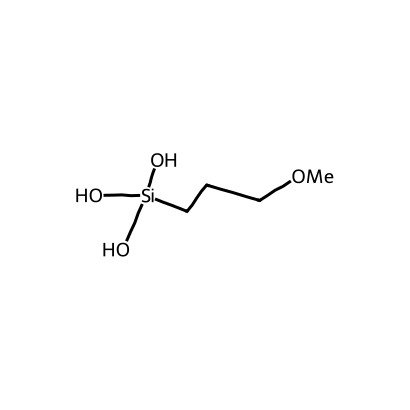 COCCC[Si](O)(O)O